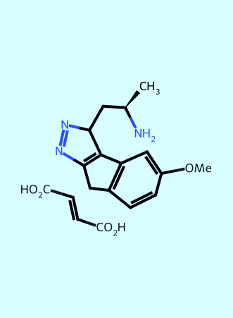 COc1ccc2c(c1)C1=C(C2)N=NC1C[C@@H](C)N.O=C(O)C=CC(=O)O